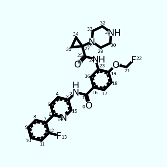 O=C(Nc1ccc(-c2ccccc2F)nc1)c1ccc(OCF)c(NC(=O)C2(N3CCNCC3)CC2)c1